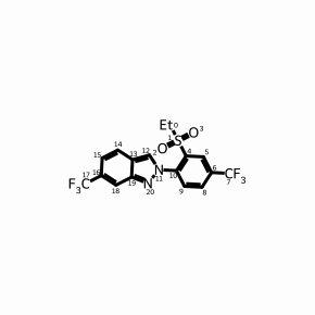 CCS(=O)(=O)c1cc(C(F)(F)F)ccc1-n1cc2ccc(C(F)(F)F)cc2n1